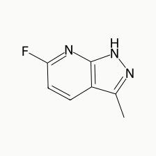 Cc1n[nH]c2nc(F)ccc12